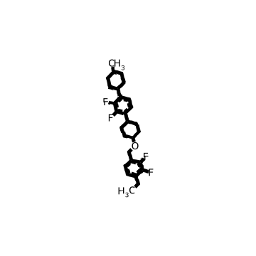 CCc1ccc(COC2CCC(c3ccc(C4CCC(C)CC4)c(F)c3F)CC2)c(F)c1F